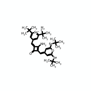 CC(C)(C)[Se]C1=CC(=CC2=C(N)C(=Cc3cc(C(C)(C)C)[se+]c(C(C)(C)C)c3)C2=O)C=C([Se]C(C)(C)C)O1